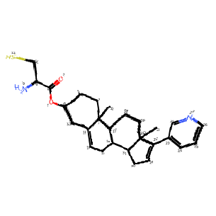 CC12CCC(OC(=O)C(N)CS)CC1=CCC1C2CCC2(C)C(c3cccnc3)=CCC12